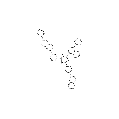 c1ccc(-c2ccc3cc(-c4cccc(-c5nc(-c6ccc(-c7ccc8ccccc8c7)cc6)nc(-c6ccc(-c7ccccc7)c7ccccc67)n5)c4)ccc3c2)cc1